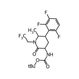 CC1C(c2c(F)ccc(F)c2F)CC(NC(=O)OC(C)(C)C)C(=O)N1CC(F)(F)F